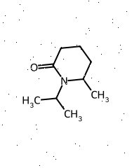 CC(C)N1C(=O)CCCC1C